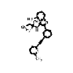 Cc1cccc(C#Cc2cccc(-c3nc4cccc(C)n4c3NC(C)(C)CC(C)(C)C)c2)n1